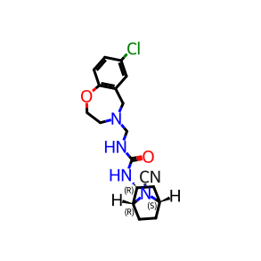 N#CN1[C@H]2CC[C@@H]1[C@H](NC(=O)NCN1CCOc3ccc(Cl)cc3C1)C2